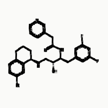 CCc1ccc2c(c1)[C@H](NC[C@@H](O)[C@H](Cc1cc(F)cc(F)c1)NC(=O)Cc1cccnc1)CCC2